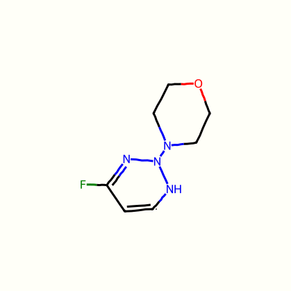 FC1=NN(N2CCOCC2)N[C]=C1